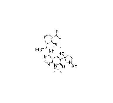 CC(=O)N1CCC(C#N)(c2cc3c(N[C@H](C)c4cccc(C(F)F)c4P)ncnc3n(C)c2=O)C1